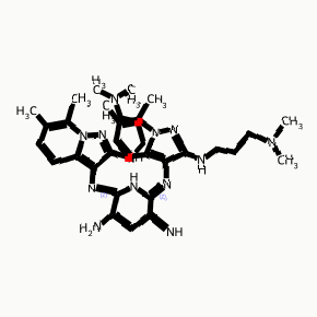 Cc1ccc2c(/N=C3\N/C(=N\c4c(NCCCN(C)C)nn5c(C)c(C)ccc45)C(N)=CC3=N)c(NCCCN(C)C)nn2c1C